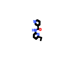 CCc1cccc(NC(=O)c2cccnc2)n1